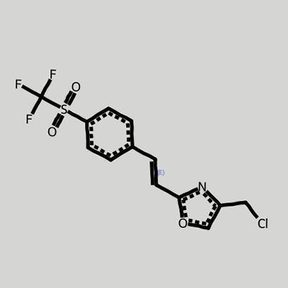 O=S(=O)(c1ccc(/C=C/c2nc(CCl)co2)cc1)C(F)(F)F